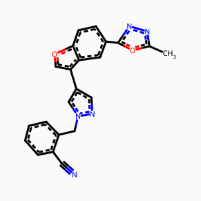 Cc1nnc(-c2ccc3occ(-c4cnn(Cc5ccccc5C#N)c4)c3c2)o1